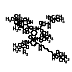 CN(C(=O)OC(C)(C)C)[C@@H]1[C@@H](O)[C@@H](O[C@@H]2[C@@H](O)[C@H](O[C@H]3OC(CNCCCCCNC(=O)OC(C)(C)C)=CC[C@H]3NC(=O)OC(C)(C)C)[C@@H](NC(=O)OC(C)(C)C)C[C@H]2NC(=O)[C@@H](O)CCNC(=O)OC(C)(C)C)OC[C@]1(C)O